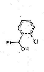 [CH2]CC(O)c1ccccc1Cl